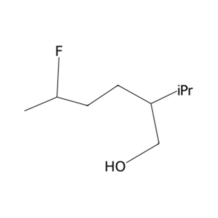 CC(F)CCC(CO)C(C)C